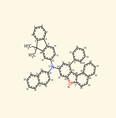 CC1(C)c2ccccc2-c2ccc(N(c3ccc4ccccc4c3)c3cc(-c4ccccc4)c4c(c3)oc3ccc5ccccc5c34)cc21